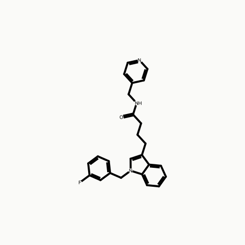 O=C(CCCc1cn(Cc2cccc(F)c2)c2ccccc12)NCc1ccncc1